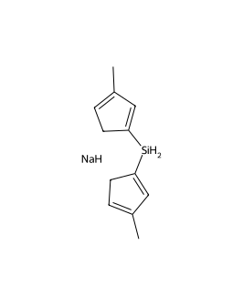 CC1=CCC([SiH2]C2=CC(C)=CC2)=C1.[NaH]